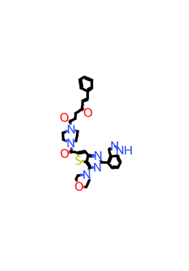 O=C(/C=C/c1ccccc1)CCC(=O)N1CCN(C(=O)c2cc3nc(-c4cccc5[nH]ncc45)nc(N4CCOCC4)c3s2)CC1